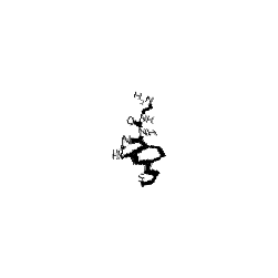 NCCNC(=O)Nc1n[nH]c2cc(-c3cccs3)ccc12